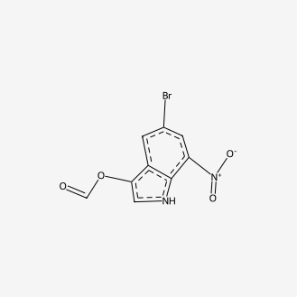 O=COc1c[nH]c2c([N+](=O)[O-])cc(Br)cc12